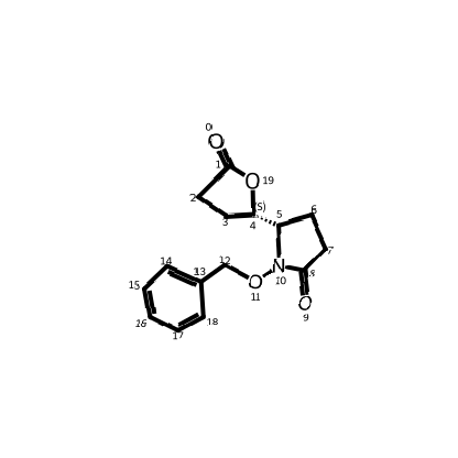 O=C1CC[C@@H](C2CCC(=O)N2OCc2ccccc2)O1